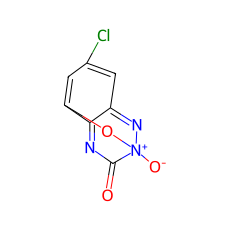 O=C1N=c2c3cc(Cl)cc2=N[N+]1([O-])O3